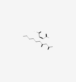 CCCCCCC(=O)CC(C)=O.O=C(O)/C=C\C(=O)O